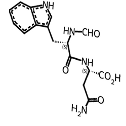 NC(=O)C[C@H](NC(=O)[C@H](Cc1c[nH]c2ccccc12)NC=O)C(=O)O